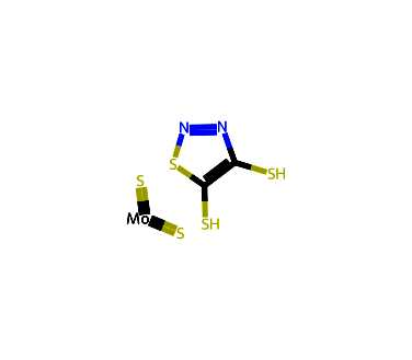 Sc1nnsc1S.[S]=[Mo]=[S]